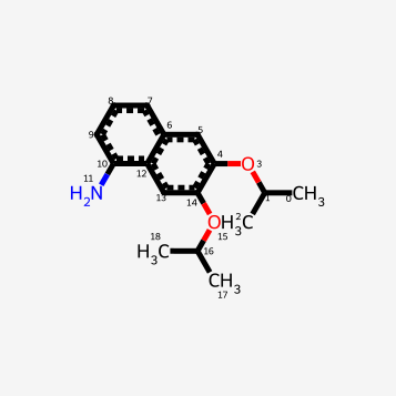 CC(C)Oc1cc2cccc(N)c2cc1OC(C)C